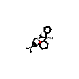 CN(C)C1C2CN(C(=O)C(O)(c3ccccc3)C3CCCCC3)CC21